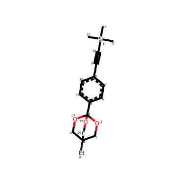 CCC12COC(c3ccc(C#C[Si](C)(C)C)cc3)(OC1)OC2